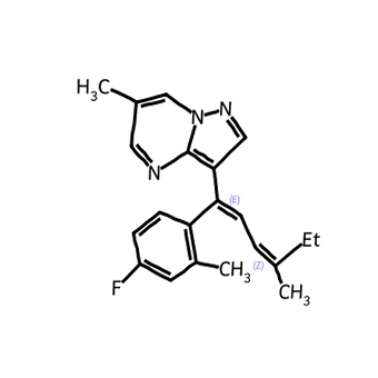 CC/C(C)=C\C=C(/c1ccc(F)cc1C)c1cnn2cc(C)cnc12